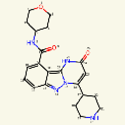 O=C(NC1CCOCC1)c1cccc2nn3c(C4CCNCC4)cc(=O)[nH]c3c12